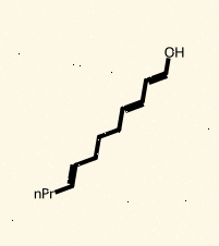 CCCC=CCCC/C=C/C=CO